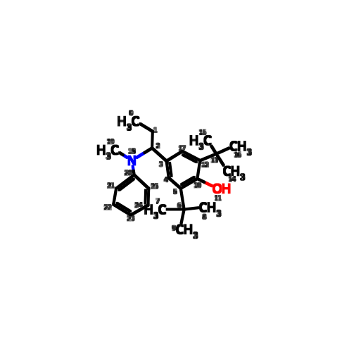 CCC(c1cc(C(C)(C)C)c(O)c(C(C)(C)C)c1)N(C)c1ccccc1